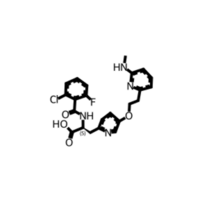 CNc1cccc(CCOc2ccc(C[C@H](NC(=O)c3c(F)cccc3Cl)C(=O)O)nc2)n1